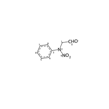 O=[C]CN(c1ccccc1)[N+](=O)[O-]